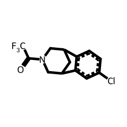 O=C(N1CC2CC(C1)c1cc(Cl)ccc12)C(F)(F)F